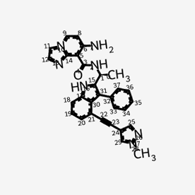 C[C@H](NC(=O)c1c(N)ccn2ccnc12)c1[nH]c2cccc(C#Cc3cnn(C)c3)c2c1-c1ccccc1